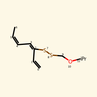 C=C/C(=C\C=C/C)SSCOC(C)C